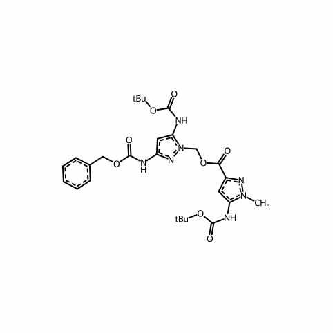 Cn1nc(C(=O)OCn2nc(NC(=O)OCc3ccccc3)cc2NC(=O)OC(C)(C)C)cc1NC(=O)OC(C)(C)C